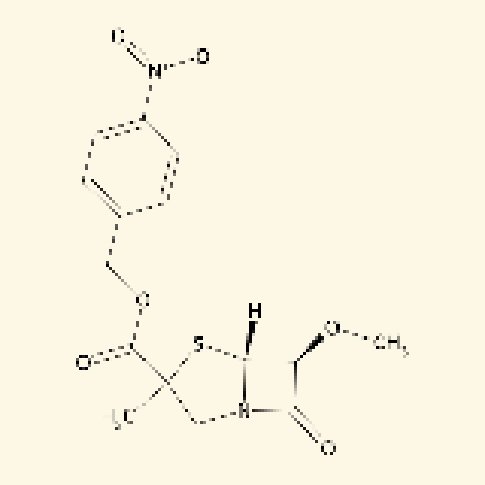 CO[C@H]1C(=O)N2CC(C)(C(=O)OCc3ccc([N+](=O)[O-])cc3)S[C@H]12